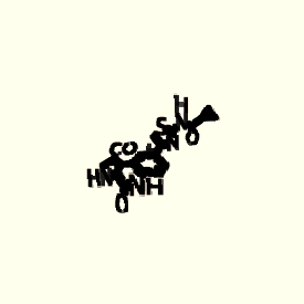 O=C(O)c1c[nH]c2c(=O)[nH]c3ccc(-c4csc(NC(=O)C5CC5)n4)cc3c12